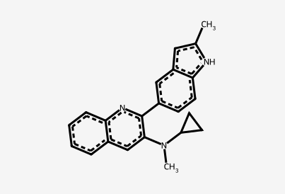 Cc1cc2cc(-c3nc4ccccc4cc3N(C)C3CC3)ccc2[nH]1